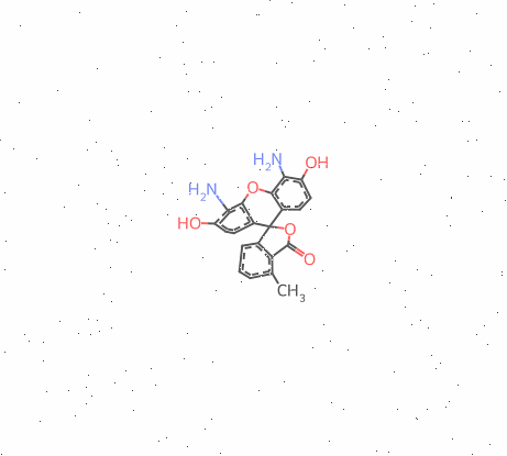 Cc1cccc2c1C(=O)OC21c2ccc(O)c(N)c2Oc2c1ccc(O)c2N